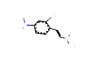 CN(C)/C=C/c1ccc([N+](=O)[O-])cc1Cl